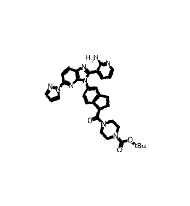 CC(C)(C)OC(=O)N1CCN(C(=O)C2CCc3cc(-n4c(-c5cccnc5N)nc5ccc(-n6cccn6)nc54)ccc32)CC1